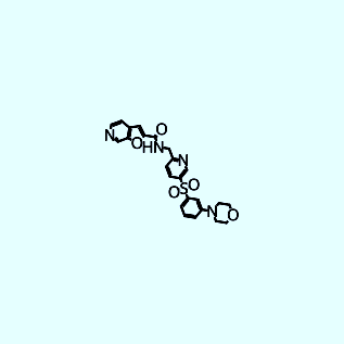 O=C(NCc1ccc(S(=O)(=O)c2cccc(N3CCOCC3)c2)cn1)c1cc2ccncc2o1